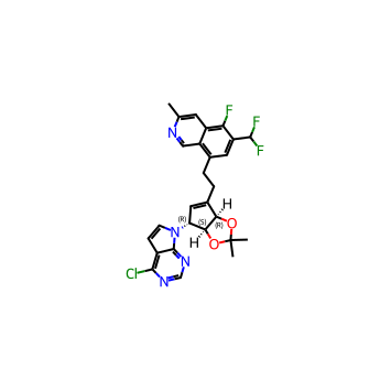 Cc1cc2c(F)c(C(F)F)cc(CCC3=C[C@@H](n4ccc5c(Cl)ncnc54)[C@@H]4OC(C)(C)O[C@H]34)c2cn1